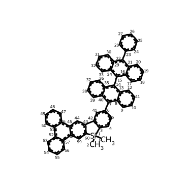 C[Si]1(C)c2ccc(-c3c4ccccc4c(-c4c5ccccc5c(-c5ccccc5)c5ccccc45)c4ccccc34)cc2-c2cc3c4ccccc4c4ccccc4c3cc21